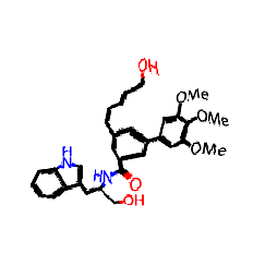 COc1cc(-c2cc(/C=C\CCCO)cc(C(=O)N[C@@H](CO)Cc3c[nH]c4ccccc34)c2)cc(OC)c1OC